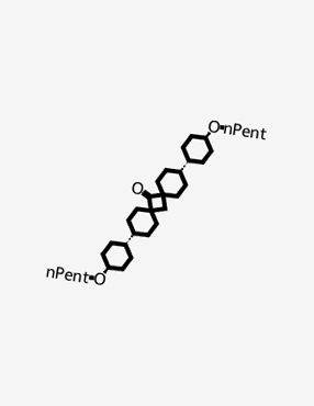 CCCCCO[C@H]1CC[C@H](C2CCC3(CC2)CC2(CCC([C@H]4CC[C@H](OCCCCC)CC4)CC2)C3=O)CC1